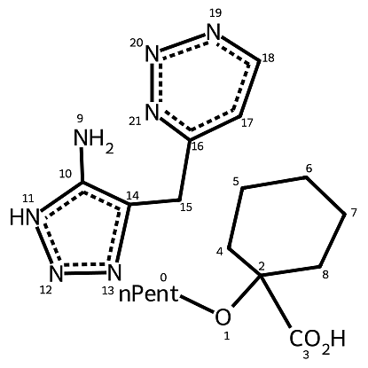 CCCCCOC1(C(=O)O)CCCCC1.Nc1[nH]nnc1Cc1ccnnn1